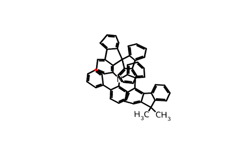 CC1(C)c2ccccc2-c2c(-c3ccccc3N(c3ccccc3-c3ccccc3)c3cccc4c3C3(c5ccccc5-c5ccccc53)c3ccccc3-4)cccc21